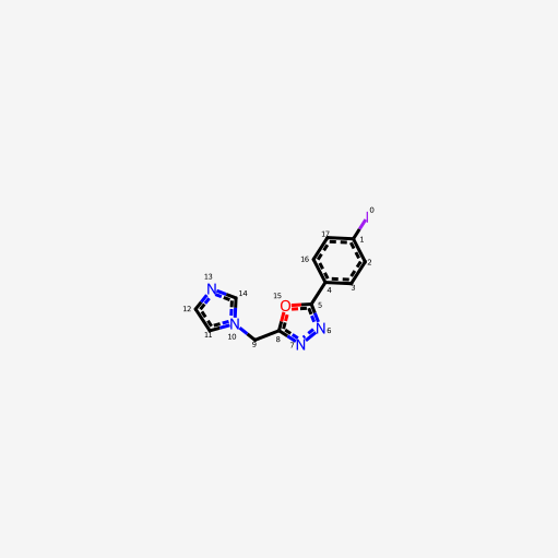 Ic1ccc(-c2nnc(Cn3ccnc3)o2)cc1